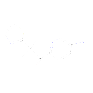 CC(C)(C(=O)c1ccc(N)cn1)c1nccs1